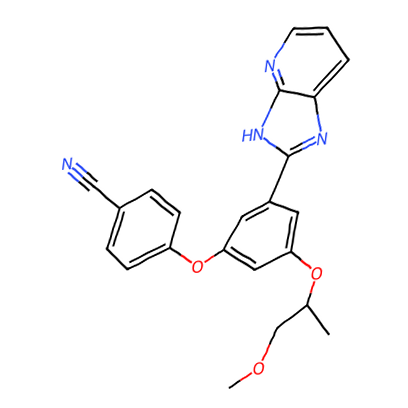 COCC(C)Oc1cc(Oc2ccc(C#N)cc2)cc(-c2nc3cccnc3[nH]2)c1